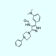 CN(C)c1cccc(-c2[nH]nc(N3CCN(c4ccccc4)CC3)c2NC=O)c1